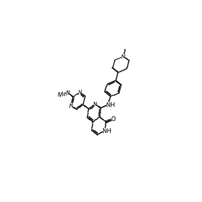 CNc1ncc(-c2cc3cc[nH]c(=O)c3c(Nc3ccc(C4CCN(C)CC4)cc3)n2)cn1